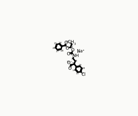 CCC(OC(=O)NCCC(C(=O)[O-])c1ccc(Cl)cc1)OC(=O)c1ccccc1.[Na+]